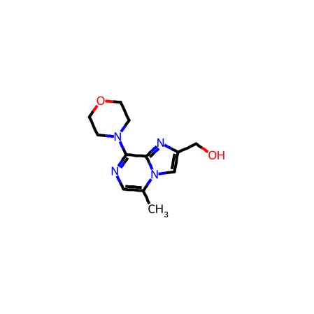 Cc1cnc(N2CCOCC2)c2nc(CO)cn12